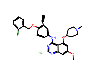 C#Cc1cc(Nc2ncnc3cc(OC)cc(OC4CCN(C)CC4)c23)ccc1OCc1ccccc1F.Cl